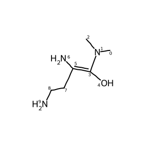 CN(C)C(O)=C(N)CCN